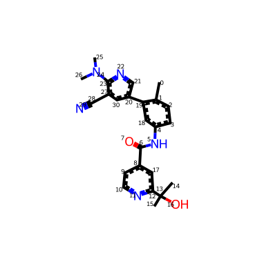 Cc1ccc(NC(=O)c2ccnc(C(C)(C)O)c2)cc1-c1cnc(N(C)C)c(C#N)c1